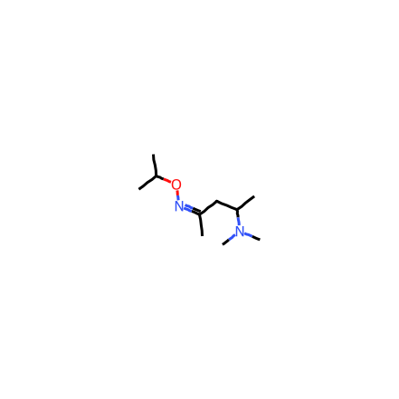 C/C(CC(C)N(C)C)=N/OC(C)C